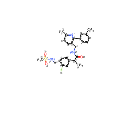 Cc1cccc(-c2nc(C(F)(F)F)ccc2CNC(=O)[C@@H](C)c2ccc(CNS(C)(=O)=O)c(F)c2)c1